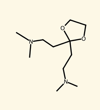 CN(C)CCC1(CCN(C)C)OCCO1